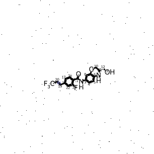 O=C(Nc1ccc2c(c1)OC[C@H](CO)N2)c1ccc(/C=C/C(F)(F)F)cc1F